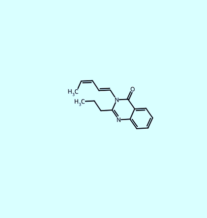 C/C=C\C=C\n1c(CCC)nc2ccccc2c1=O